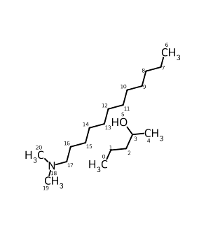 CCCC(C)O.CCCCCCCCCCCCN(C)C